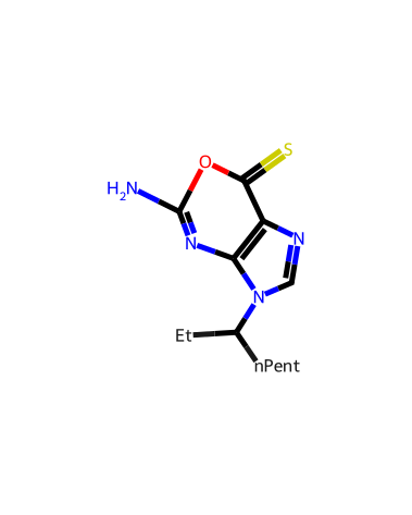 CCCCCC(CC)n1cnc2c(=S)oc(N)nc21